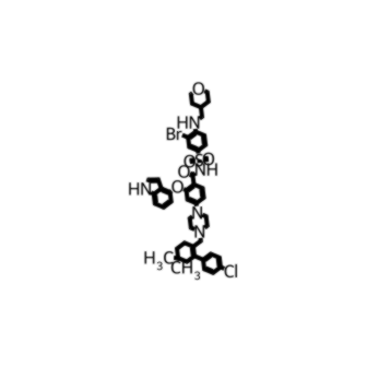 CC1(C)CCC(CN2CCN(c3ccc(C(=O)NS(=O)(=O)c4ccc(NCC5CCOCC5)c(Br)c4)c(Oc4cccc5[nH]ccc45)c3)CC2)=C(c2ccc(Cl)cc2)C1